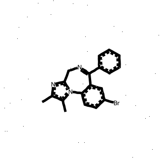 Cc1nc2n(c1C)-c1ccc(Br)cc1C(c1ccccc1)=NC2